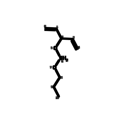 C=CC(C=C)O[SiH2]OCCC